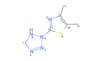 Cc1nc(N2N=NCN2)sc1C